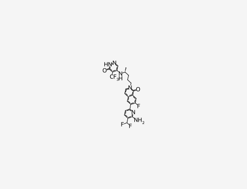 C[C@@H](CCCn1ccc2cc(-c3ccc(C(F)F)c(N)n3)c(F)cc2c1=O)Nc1cn[nH]c(=O)c1C(F)(F)F